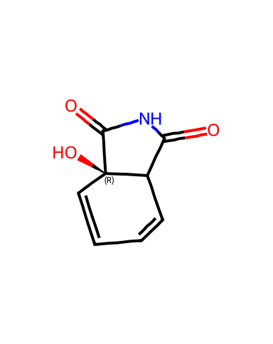 O=C1NC(=O)[C@@]2(O)C=CC=CC12